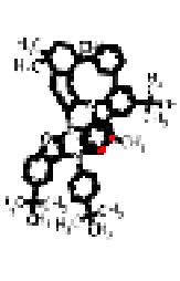 Cc1cc2c3c(c1)N(c1ccc(C(C)(C)C)cc1)c1c(oc4ccc(C(C)(C)C)cc14)B3c1cc3c4cc1N2c1c(-c2ccccc2)cc(C(C)(C)C)cc1-c1cccc(c1)C4(C)CCC3(C)C